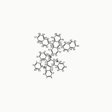 c1ccc(-n2c3ccccc3c3c4c5ccccc5sc4c4c(c5ccccc5n4-c4ccc5c(-c6ccc7ccccc7c6)c6ccccc6c(-c6ccc7ccccc7c6)c5c4)c32)cc1